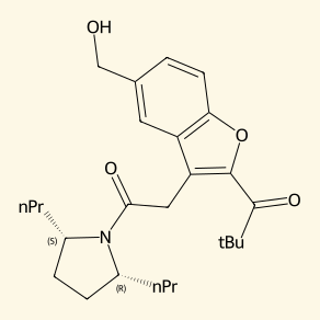 CCC[C@@H]1CC[C@H](CCC)N1C(=O)Cc1c(C(=O)C(C)(C)C)oc2ccc(CO)cc12